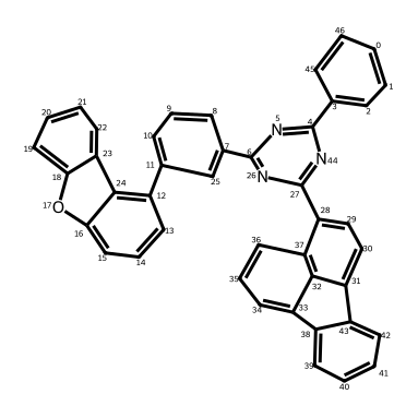 c1ccc(-c2nc(-c3cccc(-c4cccc5oc6ccccc6c45)c3)nc(-c3ccc4c5c(cccc35)-c3ccccc3-4)n2)cc1